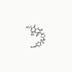 CCn1cc(C(=O)O)c(=O)c2cc(F)c(N3CCC(NS(=O)(=O)c4ccc(NC(C)=O)cc4)C3)c(F)c21